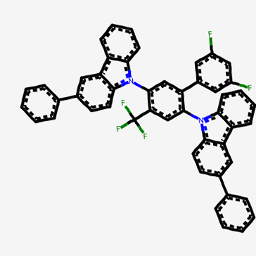 Fc1cc(F)cc(-c2cc(-n3c4ccccc4c4cc(-c5ccccc5)ccc43)c(C(F)(F)F)cc2-n2c3ccccc3c3cc(-c4ccccc4)ccc32)c1